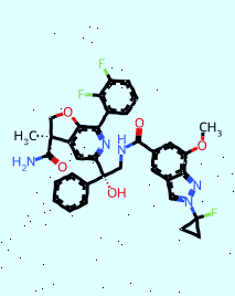 COc1cc(C(=O)NC[C@@](O)(c2ccccc2)c2cc3c(c(-c4cccc(F)c4F)n2)OC[C@]3(C)C(N)=O)cc2cn(C3(F)CC3)nc12